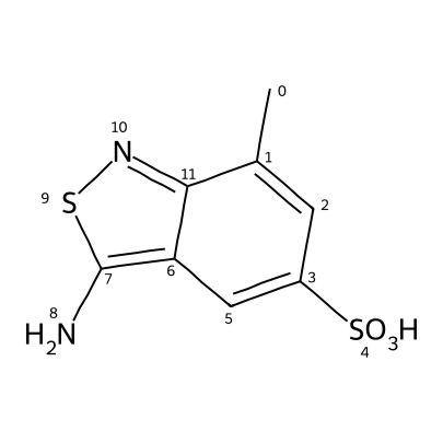 Cc1cc(S(=O)(=O)O)cc2c(N)snc12